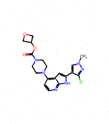 Cn1cc(-c2cc3c(N4CCN(C(=O)OC5COC5)CC4)ccnc3[nH]2)c(Cl)n1